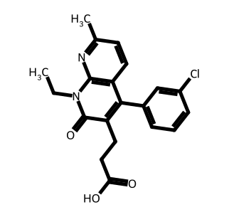 CCn1c(=O)c(CCC(=O)O)c(-c2cccc(Cl)c2)c2ccc(C)nc21